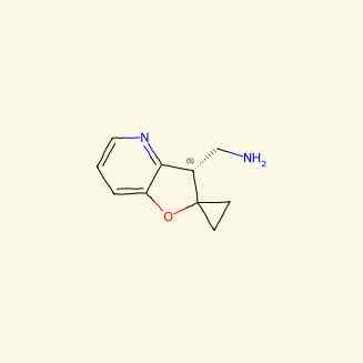 NC[C@H]1c2ncccc2OC12CC2